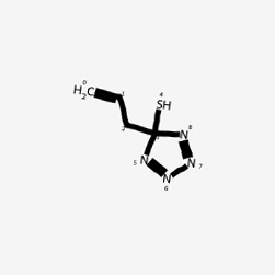 C=CCC1(S)N=NN=N1